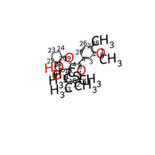 COc1cc(C(O[Si](C)(C)C(C)(C)C)C(CC(=O)O)OC2CCCC2)ccc1C